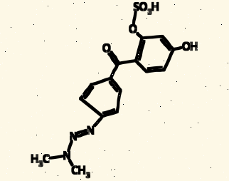 CN(C)N=Nc1ccc(C(=O)c2ccc(O)cc2OS(=O)(=O)O)cc1